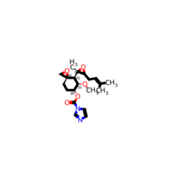 CO[C@@H]1[C@H](OC(=O)n2ccnc2)CC[C@]2(CO2)[C@H]1[C@@]1(C)OC1CC=C(C)C